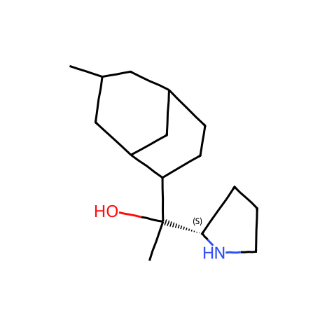 CC1CC2CCC(C(C)(O)[C@@H]3CCCN3)C(C1)C2